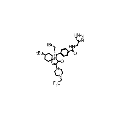 CC(C)(C)CC[C@H](c1ccc(C(=O)NCc2nn[nH]n2)cc1)N1C(=O)C(N2CCN(CC(F)(F)F)CC2)=NC12CCC(C(C)(C)C)CC2